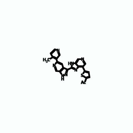 CC(=O)c1ccc(-c2cncc3[nH]c(-c4n[nH]c5cnc(-c6cnccc6C)cc45)nc23)s1